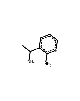 CC(N)c1cccnc1N